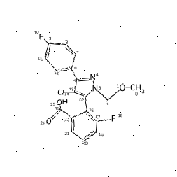 COCn1nc(-c2ccc(F)cc2)c(Cl)c1-c1c(F)cccc1C(=O)O